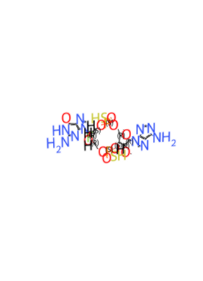 CO[C@H]1[C@H](n2cnc3c(N)ncnc32)O[C@]2(C)CO[P@](=O)(S)O[C@@H]3[C@H](F)[C@@H](CO[P@](=O)(S)O[C@@H]12)O[C@H]3n1cnc2c(=O)[nH]c(N)nc21